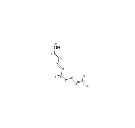 CC(C)=CCCC(C)C=CCCO